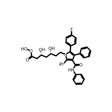 CC(C)c1c(C(=O)Nc2ccccc2)c(-c2ccccc2)c(-c2ccc(F)cc2)n1CC[C@@H](O)C[C@@H](O)CC(=O)OO